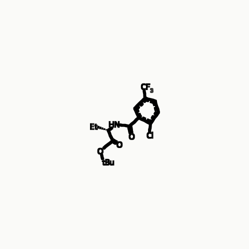 CC[C@H](NC(=O)c1cc(C(F)(F)F)ccc1Cl)C(=O)OC(C)(C)C